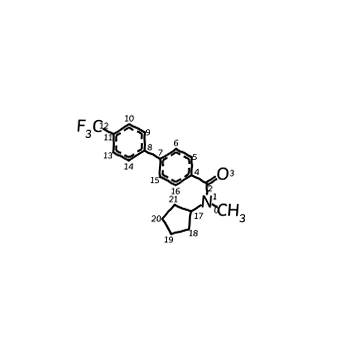 CN(C(=O)c1ccc(-c2ccc(C(F)(F)F)cc2)cc1)C1CCCC1